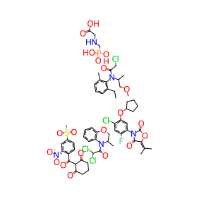 CC(C)=C1OC(=O)N(c2cc(OC3CCCC3)c(Cl)cc2F)C1=O.CC1COc2ccccc2N1C(=O)C(Cl)Cl.CCc1cccc(C)c1N(C(=O)CCl)C(C)COC.CS(=O)(=O)c1ccc(C(=O)C2C(=O)CCCC2=O)c([N+](=O)[O-])c1.O=C(O)CNCP(=O)(O)O